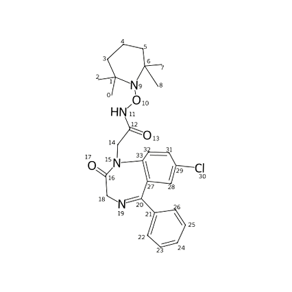 CC1(C)CCCC(C)(C)N1ONC(=O)CN1C(=O)CN=C(c2ccccc2)c2cc(Cl)ccc21